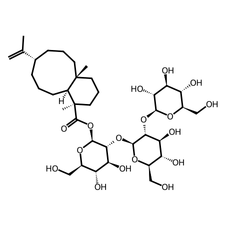 C=C(C)[C@H]1CCC[C@H]2[C@](C)(CCC1)CCC[C@@]2(C)C(=O)O[C@@H]1O[C@H](CO)[C@@H](O)[C@H](O)[C@H]1O[C@@H]1O[C@H](CO)[C@@H](O)[C@H](O)[C@H]1O[C@@H]1O[C@H](CO)[C@@H](O)[C@H](O)[C@H]1O